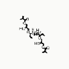 C=C(C)C(=O)OCC(O)COC(CC)[SiH2]O[SiH2]C(CC)OCC(O)COC(=O)C(=C)C